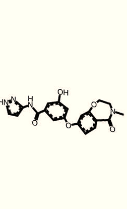 CN1CCOc2cc(Oc3cc(O)cc(C(=O)Nc4cc[nH]n4)c3)ccc2C1=O